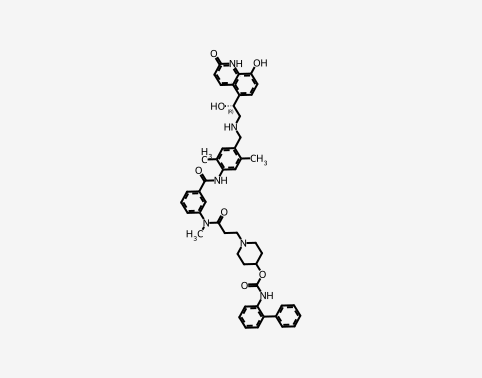 Cc1cc(NC(=O)c2cccc(N(C)C(=O)CCN3CCC(OC(=O)Nc4ccccc4-c4ccccc4)CC3)c2)c(C)cc1CNC[C@H](O)c1ccc(O)c2[nH]c(=O)ccc12